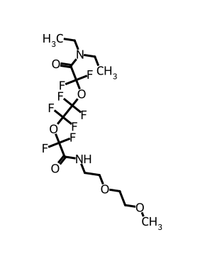 CCN(CC)C(=O)C(F)(F)OC(F)(F)C(F)(F)OC(F)(F)C(=O)NCCOCCOC